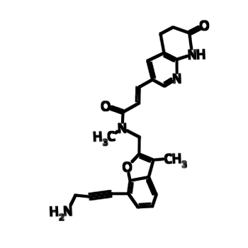 Cc1c(CN(C)C(=O)/C=C/c2cnc3c(c2)CCC(=O)N3)oc2c(C#CCN)cccc12